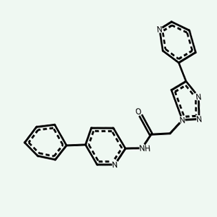 O=C(Cn1cc(-c2cccnc2)nn1)Nc1ccc(-c2ccccc2)cn1